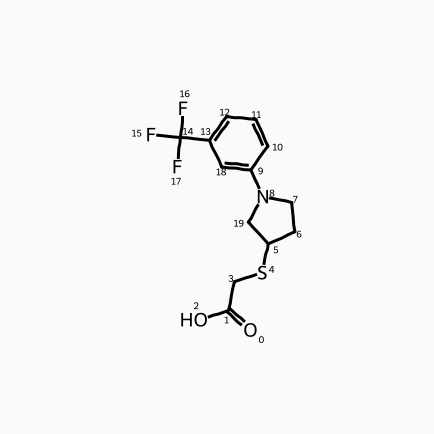 O=C(O)CSC1CCN(c2cccc(C(F)(F)F)c2)C1